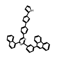 c1cc(-c2nc(-c3ccc(-c4ccc(-c5ccc[nH]5)cc4)cc3)cc(-c3cccc4ccccc34)n2)cc(-c2cc3ccccc3c3ccccc23)c1